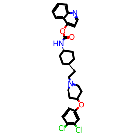 O=C(N[C@H]1CC[C@H](CCN2CCC(Oc3ccc(Cl)c(Cl)c3)CC2)CC1)Oc1ccnc2ccccc12